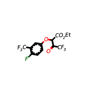 CCOC(=O)C(Oc1ccc(F)c(C(F)(F)F)c1)C(=O)C(F)(F)F